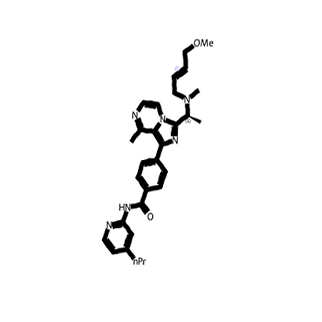 CCCc1ccnc(NC(=O)c2ccc(-c3nc([C@H](C)N(C)C/C=C/COC)n4ccnc(C)c34)cc2)c1